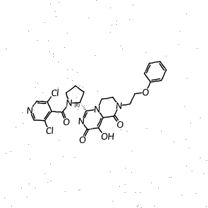 O=C1c2c(O)c(=O)nc([C@H]3CCCN3C(=O)c3c(Cl)cncc3Cl)n2CCN1CCOc1ccccc1